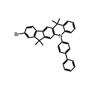 CC1(C)c2cc(Br)ccc2-c2cc3c(cc21)N(c1ccc(-c2ccccc2)cc1)c1ccccc1C3(C)C